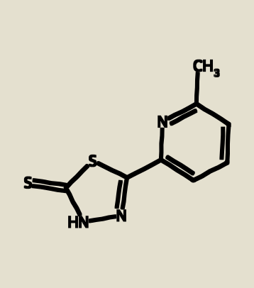 Cc1cccc(-c2n[nH]c(=S)s2)n1